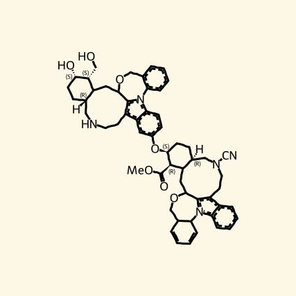 COC(=O)[C@@H]1C2CC3OCC4C=CC=CC4n4c3c(c3ccccc34)CCN(C#N)C[C@@H]2CC[C@@H]1Oc1ccc2c(c1)c1c3n2-c2ccccc2COC3CC2[C@@H](CC[C@H](O)[C@@H]2CO)CNCC1